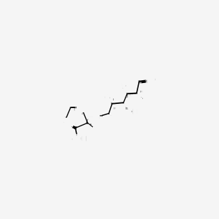 CC(O)C(=O)O.CCO.O=C[C@H](O)[C@@H](O)[C@H](O)[C@H](O)CO